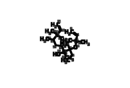 C=C[Si](C)(C)OC(C)(CC)[Si](C)(O)CCC(C)[Si](C)(C)C=C